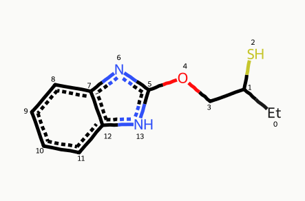 CCC(S)COc1nc2ccccc2[nH]1